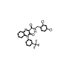 O=C(NCc1ccc(Cl)cc1Cl)c1nc2ccccc2n(-c2cccc(C(F)(F)F)c2)c1=O